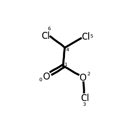 O=C(OCl)C(Cl)Cl